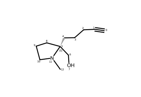 C#CCCC[C@@]1(CO)CCCN1C